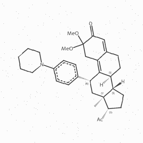 COC1(OC)CC2=C3[C@@H](CCC2=CC1=O)[C@@H]1CC[C@H](C(C)=O)[C@@]1(C)C[C@@H]3c1ccc(N2CCCCC2)cc1